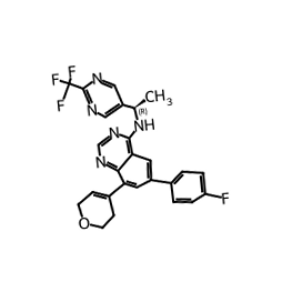 C[C@@H](Nc1ncnc2c(C3=CCOCC3)cc(-c3ccc(F)cc3)cc12)c1cnc(C(F)(F)F)nc1